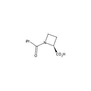 CC(C)C(=O)N1CC[C@H]1C(=O)O